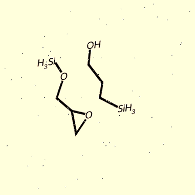 OCCC[SiH3].[SiH3]OCC1CO1